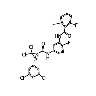 O=C(Nc1cc(NC(=O)[C@H]2[C@H](c3cc(Cl)cc(Cl)c3)C2(Cl)Cl)ccc1F)c1c(F)cccc1F